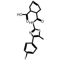 Cc1sc(NC(=O)C2CC=CCC2C(=O)O)nc1-c1ccc(F)cc1